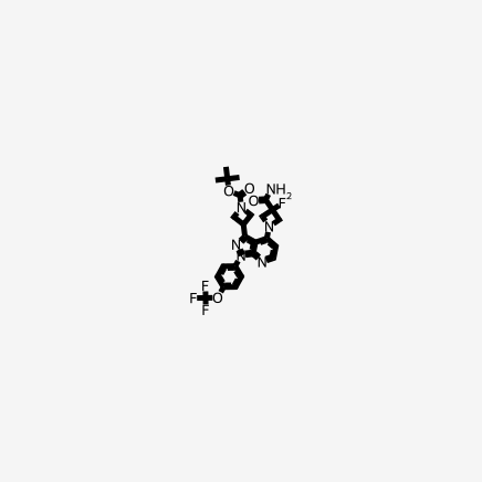 CC(C)(C)OC(=O)N1CC(c2nn(-c3ccc(OC(F)(F)F)cc3)c3nccc(N4CC(F)(C(N)=O)C4)c23)C1